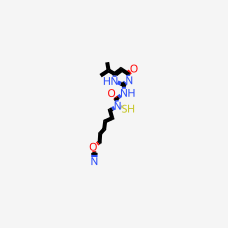 CC(C)c1cc(=O)nc(NC(=O)N(S)CCCCCCOC#N)[nH]1